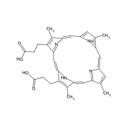 CC1=Cc2cc3[nH]c(cc4nc(cc5[nH]c(cc1n2)c(C)c5CCC(=O)O)C(CCC(=O)O)=C4C)cc3C